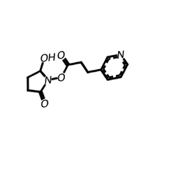 O=C(CCc1cccnc1)ON1C(=O)CCC1O